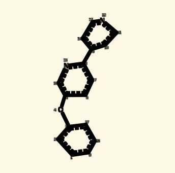 c1ccc(Oc2ccc(-c3ccncc3)nc2)cc1